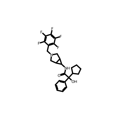 O=C(NC1C2CN(Cc3c(F)c(F)c(F)c(F)c3F)CC21)C(O)(c1ccccc1)C1CCCC1